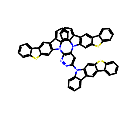 c1ccc2c(c1)sc1cc3c(cc12)c1ccccc1n3-c1cc(-n2c3ccccc3c3cc4c(cc32)sc2ccccc24)c(-n2c3ccccc3c3cc4c(cc32)sc2ccccc24)nn1